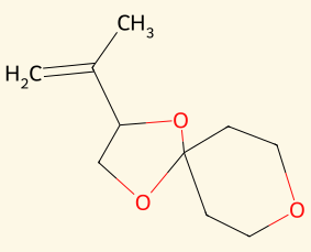 C=C(C)C1COC2(CCOCC2)O1